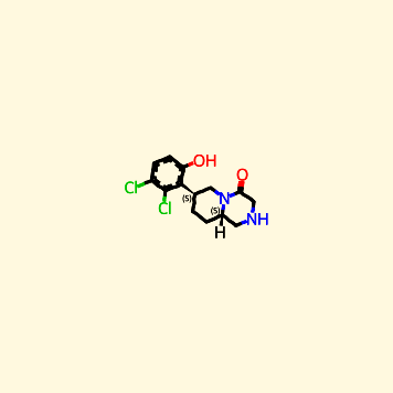 O=C1CNC[C@@H]2CC[C@@H](c3c(O)ccc(Cl)c3Cl)CN12